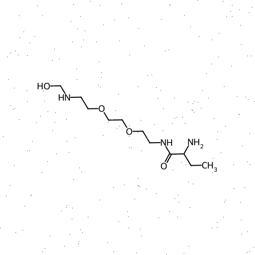 CCC(N)C(=O)NCCOCCOCCNCO